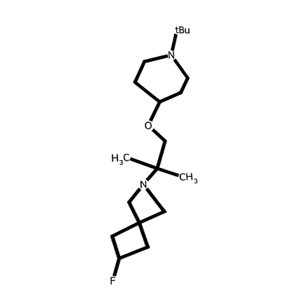 CC(C)(C)N1CCC(OCC(C)(C)N2CC3(CC(F)C3)C2)CC1